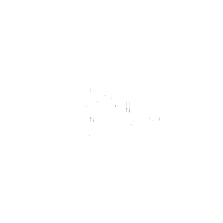 CC(C)(C)OC(=O)NC[C@H]1OC(C)(C)OC1CN1C(=O)c2ccccc2C1=O